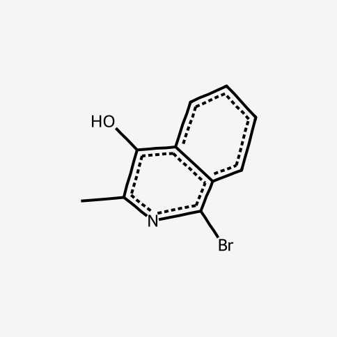 Cc1nc(Br)c2ccccc2c1O